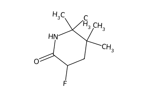 CC1(C)CC(F)C(=O)NC1(C)C